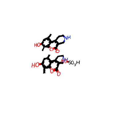 Cc1c(O)cc(C)c2c3c(c(=O)oc12)CNCC3.Cc1c(O)cc(C)c2c3c(c(=O)oc12)CNCC3.O=S(=O)(O)O